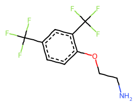 NCCOc1ccc(C(F)(F)F)cc1C(F)(F)F